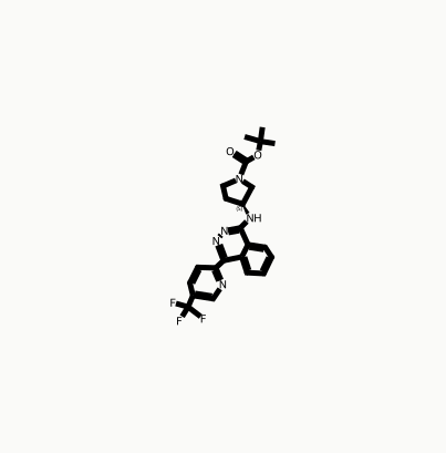 CC(C)(C)OC(=O)N1CC[C@H](Nc2nnc(-c3ccc(C(F)(F)F)cn3)c3ccccc23)C1